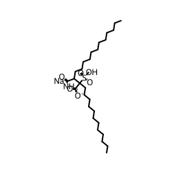 CCCCCCCCCCCCC(C(N)=O)C(CCCCCCCCCCCC)(C(=O)[O-])S(=O)(=O)O.[Na+]